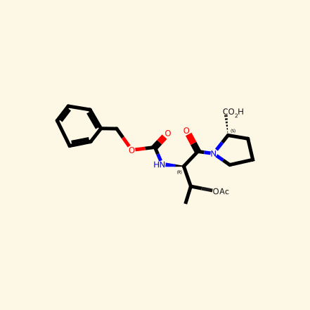 CC(=O)OC(C)[C@@H](NC(=O)OCc1ccccc1)C(=O)N1CCC[C@H]1C(=O)O